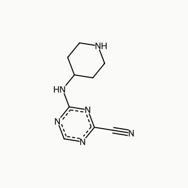 N#Cc1ncnc(NC2CCNCC2)n1